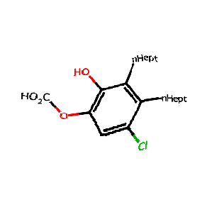 CCCCCCCc1c(Cl)cc(OC(=O)O)c(O)c1CCCCCCC